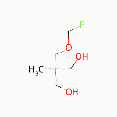 CC(CO)(CO)COCF